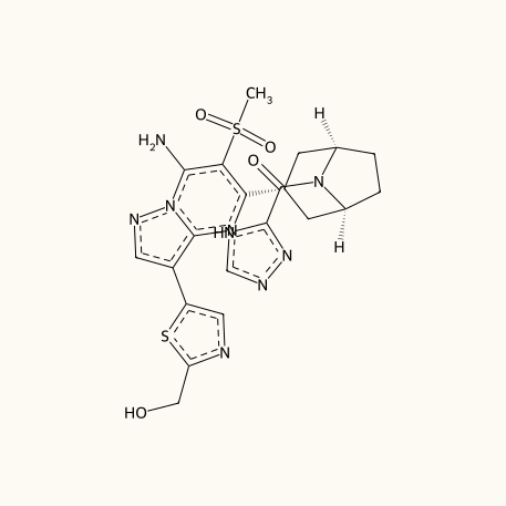 CS(=O)(=O)c1c([C@@H]2C[C@H]3CC[C@@H](C2)N3C(=O)c2nnc[nH]2)nc2c(-c3cnc(CO)s3)cnn2c1N